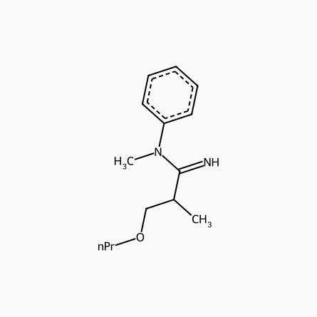 CCCOCC(C)C(=N)N(C)c1ccccc1